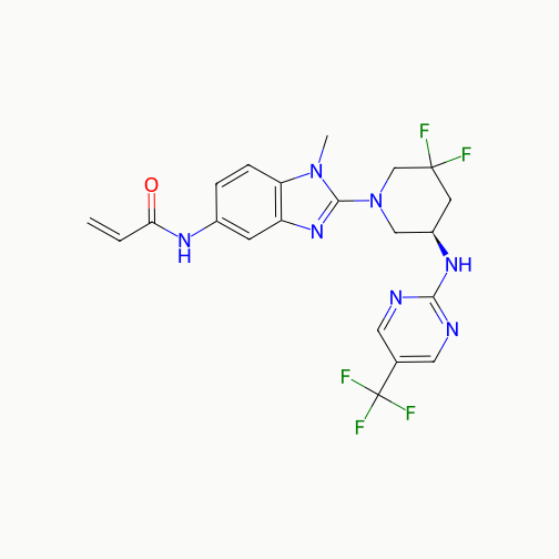 C=CC(=O)Nc1ccc2c(c1)nc(N1C[C@H](Nc3ncc(C(F)(F)F)cn3)CC(F)(F)C1)n2C